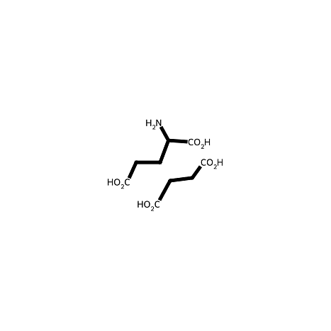 NC(CCC(=O)O)C(=O)O.O=C(O)CCC(=O)O